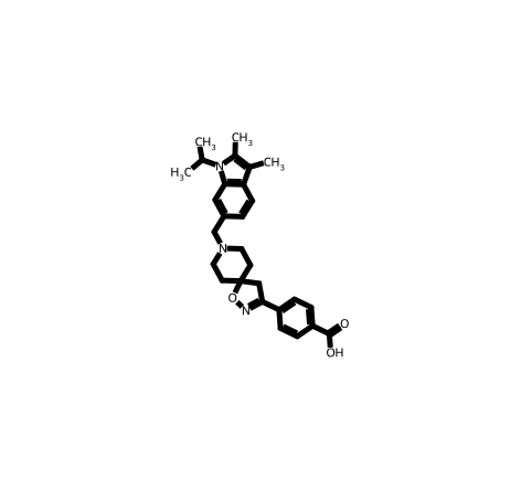 Cc1c(C)n(C(C)C)c2cc(CN3CCC4(CC3)CC(c3ccc(C(=O)O)cc3)=NO4)ccc12